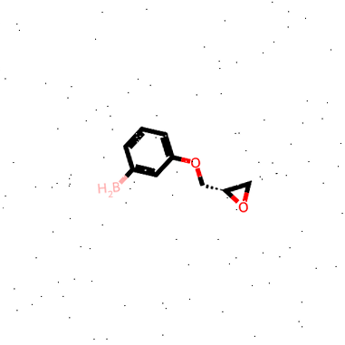 Bc1cccc(OC[C@@H]2CO2)c1